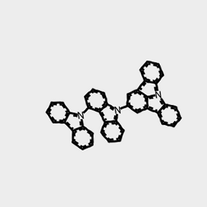 c1ccc2c(c1)c1ccccc1n2-c1cccc2c1c1ccccc1n2-c1cc2c3ccccc3n3c4ccccc4c(c1)c23